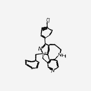 Clc1ccc(C2=N[N+](Cc3ccccc3)(Cc3cccnc3)C3=C2CCNCC3)cc1